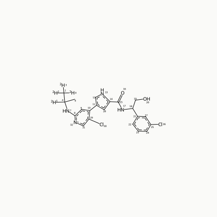 [2H]C([2H])([2H])C([2H])(C)Nc1cc(-c2c[nH]c(C(=O)NC(CO)c3cccc(Cl)c3)c2)c(Cl)cn1